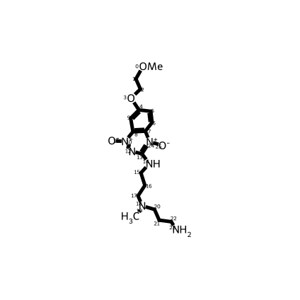 COCCOc1ccc2c(c1)[n+]([O-])nc(NCCCN(C)CCCN)[n+]2[O-]